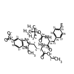 CCOC(=O)[C@H](CCc1nc2cc([N+](=O)[O-])ccc2n1C)NC(=O)[C@H](Cc1ccc(F)cc1)NC(=O)OC(C)(C)C